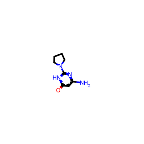 Nc1cc(=O)[nH]c(N2CCCC2)n1